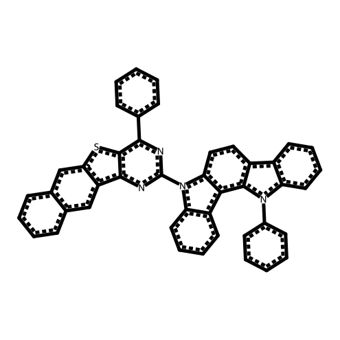 c1ccc(-c2nc(-n3c4ccccc4c4c3ccc3c5ccccc5n(-c5ccccc5)c34)nc3c2sc2cc4ccccc4cc23)cc1